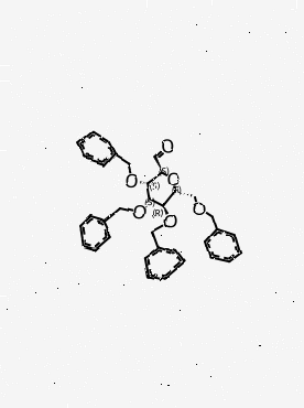 O=C[C@H]1O[C@H](COCc2ccccc2)[C@@H](OCc2ccccc2)[C@H](OCc2ccccc2)[C@@H]1OCc1ccccc1